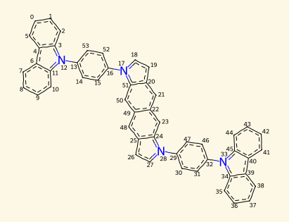 c1ccc2c(c1)c1ccccc1n2-c1ccc(-n2ccc3cc4cc5c(ccn5-c5ccc(-n6c7ccccc7c7ccccc76)cc5)cc4cc32)cc1